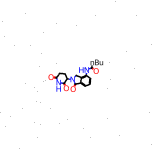 CCCCC(=O)Nc1cccc2c1CN(C1CCC(=O)NC1=O)C2=O